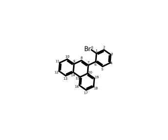 Brc1ccccc1-c1cc2ccccc2c2ccccc12